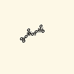 c1ccc(-c2nc(-c3ccc(-n4c5ccccc5c5ccccc54)cc3)nc(-c3ccc4sc5cc(-c6nc(-c7ccccc7)c7sc8ccccc8c7n6)ccc5c4c3)n2)cc1